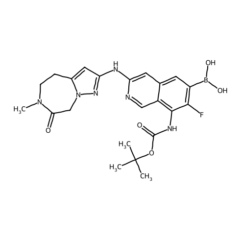 CN1CCc2cc(Nc3cc4cc(B(O)O)c(F)c(NC(=O)OC(C)(C)C)c4cn3)nn2CC1=O